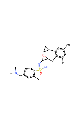 Cc1cc(CN(C)C)ccc1S(N)(=O)=NC1OC1Cc1c(C(C)C)cc(C#N)cc1C1CC1